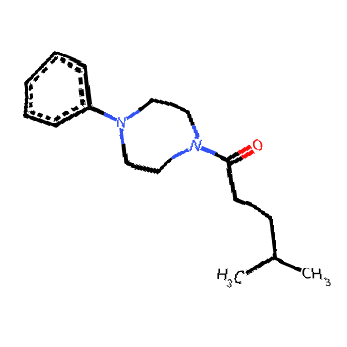 CC(C)CCC(=O)N1CCN(c2ccccc2)CC1